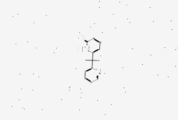 CC(C)(c1ccccn1)c1cccc(=O)[nH]1